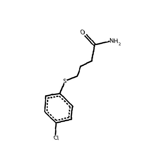 NC(=O)CCCSc1ccc(Cl)cc1